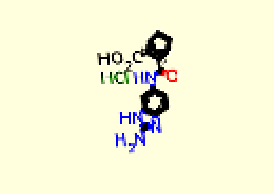 Cl.Nc1nc2ccc(NC(=O)[C@@H]3C4C=CC(C4)[C@@H]3C(=O)O)cc2[nH]1